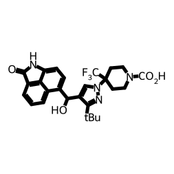 CC(C)(C)c1nn(C2(C(F)(F)F)CCN(C(=O)O)CC2)cc1C(O)c1ccc2c3c(cccc13)C(=O)N2